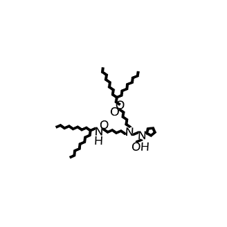 CCCCCCCCC(CCCCCCCC)CNC(=O)CCCCCN(CCCCCC(=O)OCC(CCCCCCCC)CCCCCCCC)CCN(CCO)C1CCCC1